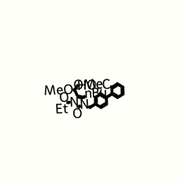 CCCCc1c(C(OC)OC)n(C(=O)CC)c(=O)n1Cc1ccc(-c2ccccc2C(=O)O)cc1